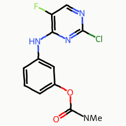 CNC(=O)Oc1cccc(Nc2nc(Cl)ncc2F)c1